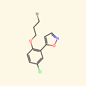 Clc1ccc(OCCCBr)c(-c2ccno2)c1